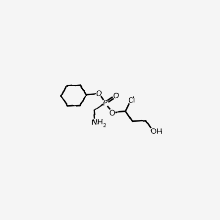 NCP(=O)(OC(Cl)CCO)OC1CCCCC1